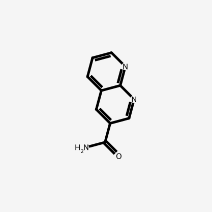 NC(=O)c1cnc2ncccc2c1